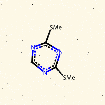 CSc1n[c]nc(SC)n1